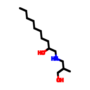 CCCCCCCCC(O)CNCC(C)CO